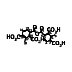 Cc1c(C(=O)O)ccc(C(=O)OC(=O)c2ccc(C(=O)O)c(C)c2C(=O)O)c1C(=O)O